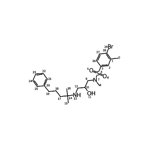 Cc1cc(S(=O)(=O)N(C)CC(O)CNC(C)(C)CCCc2ccccc2)ccc1Br